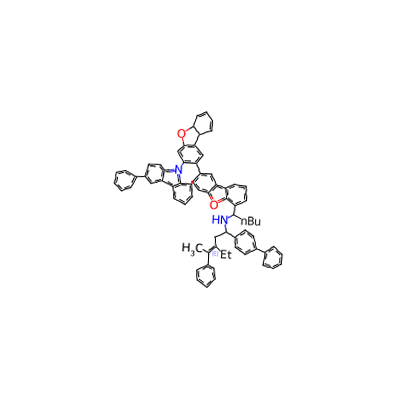 CCCCC(NC(C/C(CC)=C(\C)c1ccccc1)c1ccc(-c2ccccc2)cc1)c1cccc2c1oc1ccc(-c3cc4c(cc3-n3c5ccccc5c5cc(-c6ccccc6)ccc53)OC3C=CC=CC43)cc12